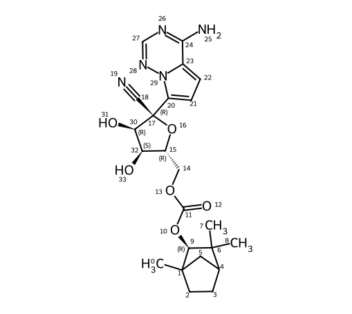 CC12CCC(C1)C(C)(C)[C@@H]2OC(=O)OC[C@H]1O[C@@](C#N)(c2ccc3c(N)ncnn23)[C@H](O)[C@@H]1O